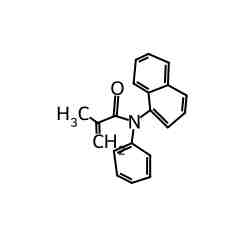 C=C(C)C(=O)N(c1ccccc1)c1cccc2ccccc12